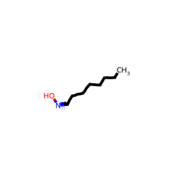 CCCCCCC/C=N\O